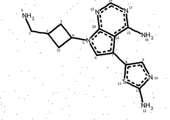 NCC1CC(n2cc(-c3cnc(N)s3)c3c(N)ncnc32)C1